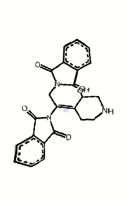 O=C1c2ccccc2C(=O)N1C/C(=C1/CCNCC1O)N1C(=O)c2ccccc2C1=O